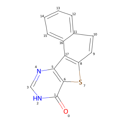 O=c1[nH]cnc2c1sc1ccc3ccccc3c12